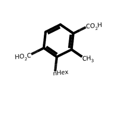 CCCCCCc1c(C(=O)O)ccc(C(=O)O)c1C